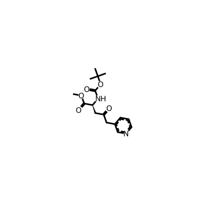 COC(=O)[C@H](CC(=O)Cc1cccnc1)NC(=O)OC(C)(C)C